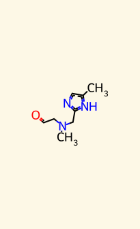 Cc1cnc(CN(C)CC=O)[nH]1